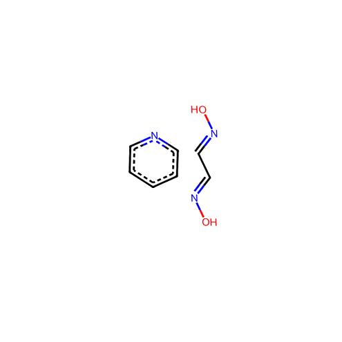 ON=CC=NO.c1ccncc1